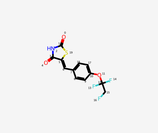 O=C1NC(=O)C(=Cc2ccc(OC(F)(F)CF)cc2)S1